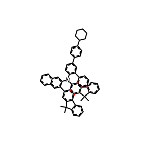 CC1(C)c2ccccc2-c2cc(N(c3ccc(-c4ccc(C5CCCCC5)cc4)cc3-c3ccccc3)c3cc4ccccc4cc3-c3ccc4c(c3)C(C)(C)c3ccccc3-4)ccc21